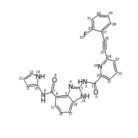 O=C(Nc1nc2c(C(=O)Nc3ccc[nH]3)cccc2[nH]1)c1cccc(C#Cc2ccccc2F)n1